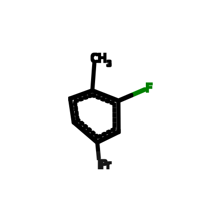 [CH2]C(C)c1ccc(C)c(F)c1